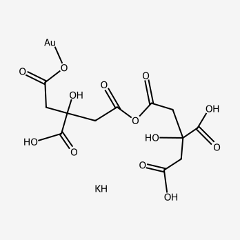 O=C(O)CC(O)(CC(=O)OC(=O)CC(O)(CC(=O)[O][Au])C(=O)O)C(=O)O.[KH]